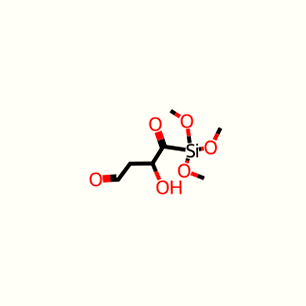 CO[Si](OC)(OC)C(=O)C(O)CC=O